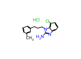 Cc1cccc(CCCn2c(N)nc3cccc(Cl)c32)c1.Cl